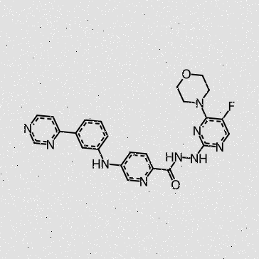 O=C(NNc1ncc(F)c(N2CCOCC2)n1)c1ccc(Nc2cccc(-c3ccncn3)c2)cn1